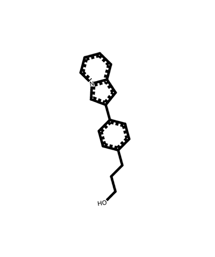 OCCCc1ccc(-c2cc3ccccn3c2)cc1